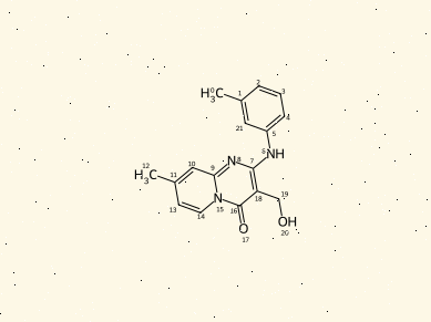 Cc1cccc(Nc2nc3cc(C)ccn3c(=O)c2CO)c1